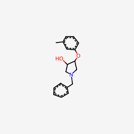 Cc1cccc(OC2CN(Cc3ccccc3)CC2O)c1